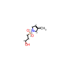 CC1=CCN(S(=O)(=O)CCCO)C1